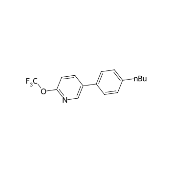 CCCCc1ccc(-c2ccc(OC(F)(F)F)nc2)cc1